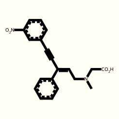 CN(C/C=C(/C#Cc1cccc([N+](=O)[O-])c1)c1ccccc1)CC(=O)O